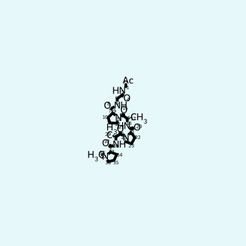 CC(=O)CNC(=O)CNC(=O)[C@@H]1CCCN1C(=O)[C@H](C)NC(=O)[C@@H]1CCCN1C(=O)[C@H](C)NC(=O)[C@@H]1CCCN1C